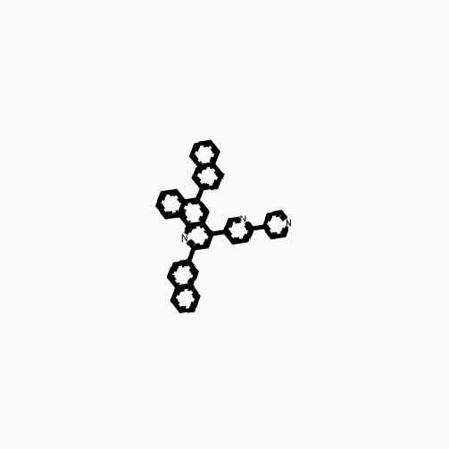 c1ccc2cc(-c3cc(-c4ccc(-c5ccncc5)nc4)c4cc(-c5ccc6ccccc6c5)c5ccccc5c4n3)ccc2c1